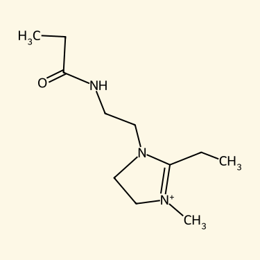 CCC(=O)NCCN1CC[N+](C)=C1CC